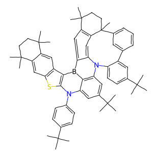 CC(C)(C)c1ccc(N2c3cc(C(C)(C)C)cc4c3B(c3cc5c6cc3N4c3ccc(C(C)(C)C)cc3-c3cccc(c3)C6(C)CCC5(C)C)c3c2sc2cc4c(cc32)C(C)(C)CCC4(C)C)cc1